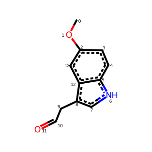 COc1ccc2[nH]cc(CC=O)c2c1